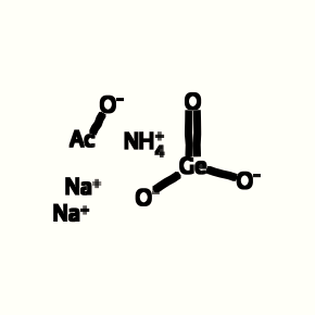 CC(=O)[O-].[NH4+].[Na+].[Na+].[O]=[Ge]([O-])[O-]